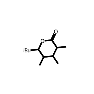 CCC(C)C1OC(=O)C(C)C(C)C1C